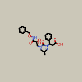 CC(C)CN(CC(O)C(=O)NOCc1ccccc1)C(=O)NC(CC(=O)O)c1ccccc1